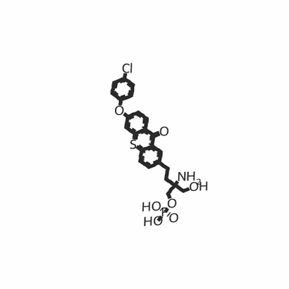 NC(CO)(CCc1ccc2sc3cc(Oc4ccc(Cl)cc4)ccc3c(=O)c2c1)COP(=O)(O)O